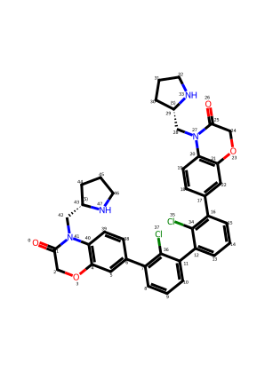 O=C1COc2cc(-c3cccc(-c4cccc(-c5ccc6c(c5)OCC(=O)N6C[C@@H]5CCCN5)c4Cl)c3Cl)ccc2N1C[C@@H]1CCCN1